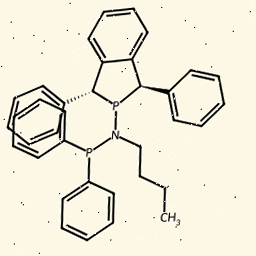 CCCCN(P(c1ccccc1)c1ccccc1)P1[C@H](c2ccccc2)c2ccccc2[C@H]1c1ccccc1